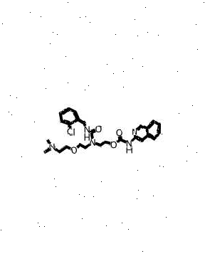 CN(C)CCOCCN(CCOC(=O)Nc1cc2ccccc2cn1)C(=O)NCc1ccccc1Cl